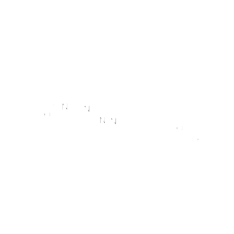 CC1CN(C(=O)c2ccccc2)CCN1c1nnc(-c2ccc(CCOC3CCCCO3)cc2)c2ccccc12